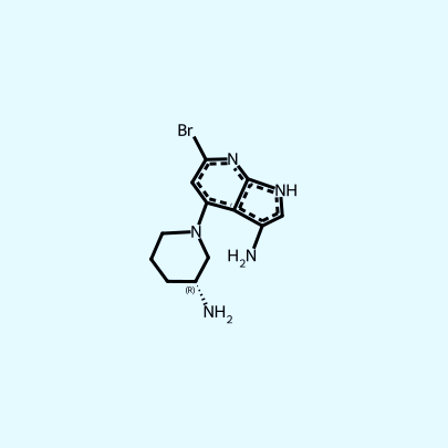 Nc1c[nH]c2nc(Br)cc(N3CCC[C@@H](N)C3)c12